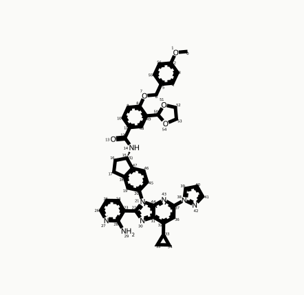 COc1ccc(COc2ccc(C(=O)N[C@H]3CCc4cc(-n5c(-c6cccnc6N)nc6c(C7CC7)cc(-n7cccn7)nc65)ccc43)cc2C2OCCO2)cc1